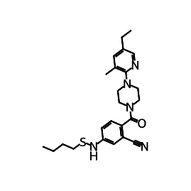 CCCCSNc1ccc(C(=O)N2CCN(c3ncc(CC)cc3C)CC2)c(C#N)c1